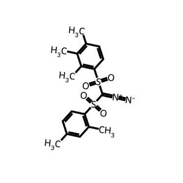 Cc1ccc(S(=O)(=O)C(=[N+]=[N-])S(=O)(=O)c2ccc(C)c(C)c2C)c(C)c1